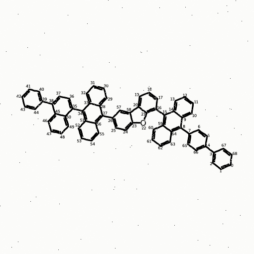 c1ccc(-c2ccc(-c3c4ccccc4c(-c4cccc5c4oc4ccc(-c6c7ccccc7c(-c7ccc(-c8ccccc8)c8ccccc78)c7ccccc67)cc45)c4ccccc34)cc2)cc1